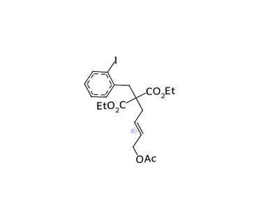 CCOC(=O)C(C/C=C/COC(C)=O)(Cc1ccccc1I)C(=O)OCC